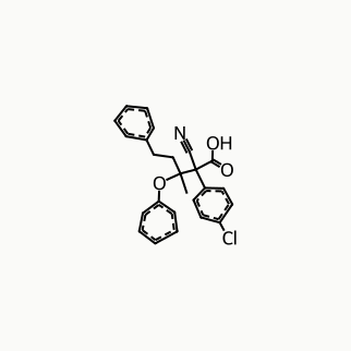 CC(CCc1ccccc1)(Oc1ccccc1)C(C#N)(C(=O)O)c1ccc(Cl)cc1